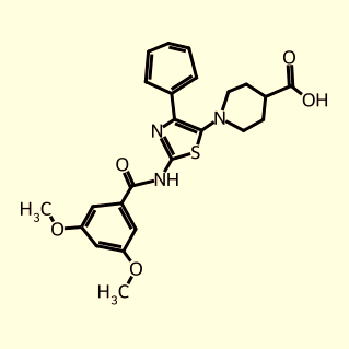 COc1cc(OC)cc(C(=O)Nc2nc(-c3ccccc3)c(N3CCC(C(=O)O)CC3)s2)c1